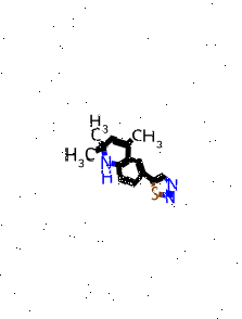 CC1=CC(C)(C)Nc2ccc(-c3cnns3)cc21